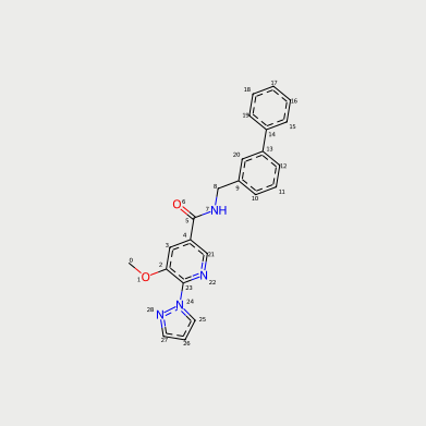 COc1cc(C(=O)NCc2cccc(-c3ccccc3)c2)cnc1-n1cccn1